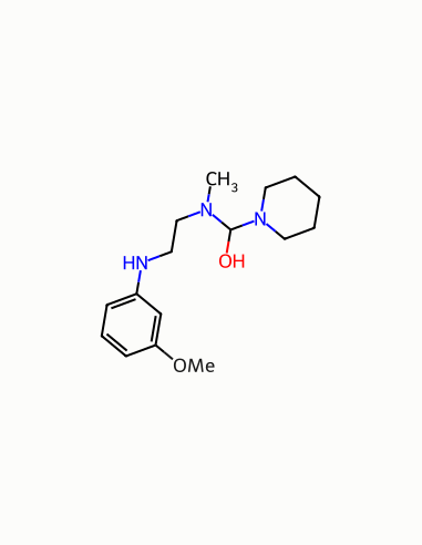 COc1cccc(NCCN(C)C(O)N2CCCCC2)c1